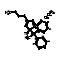 CCCCC1=C[C]([Ti+3])(C(C)(c2ccccc2)c2ccccc2)C=C1.[Cl-].[Cl-].[Cl-]